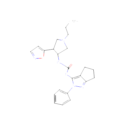 COCCN1CC(NC(=O)Nc2c3c(nn2-c2ccccc2)CCC3)C(c2ccno2)C1